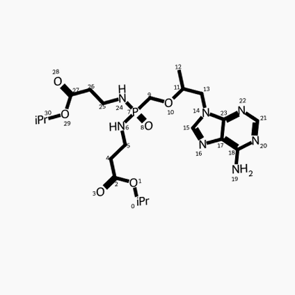 CC(C)OC(=O)CCNP(=O)(COC(C)Cn1cnc2c(N)ncnc21)NCCC(=O)OC(C)C